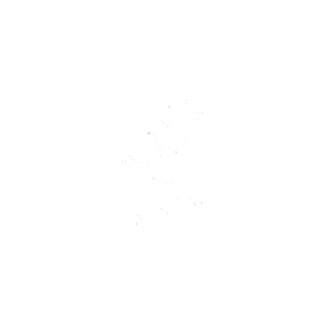 C[C](c1cc(C)cc(C)c1)c1nc2ccccc2s1